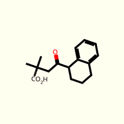 CC(C)(CC(=O)C1CCCc2ccccc21)C(=O)O